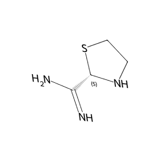 N=C(N)[C@H]1NCCS1